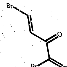 O=C(Br)C(=O)C=CBr